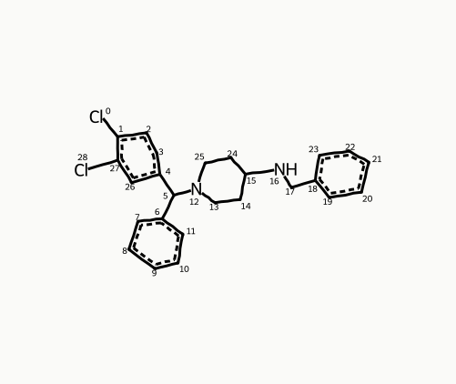 Clc1ccc(C(c2ccccc2)N2CCC(NCc3ccccc3)CC2)cc1Cl